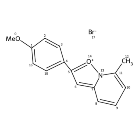 COc1ccc(-c2cc3cccc(C)n3[o+]2)cc1.[Br-]